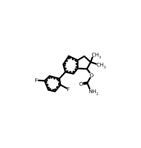 CC1(C)Cc2ccc(-c3cc(F)ccc3F)cc2C1OC(N)=O